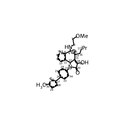 COCCNC(=O)c1ncccc1C1C(C(=O)CC(C)C)=C(O)C(=O)N1c1ccc(-c2ccc(C)s2)cc1